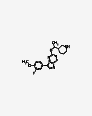 COc1ccc(-c2cnc3ccc(OC(C)C4CCCNC4)nn23)cc1F